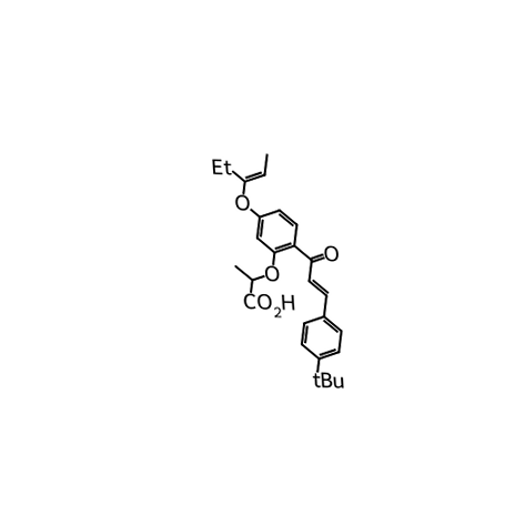 CC=C(CC)Oc1ccc(C(=O)C=Cc2ccc(C(C)(C)C)cc2)c(OC(C)C(=O)O)c1